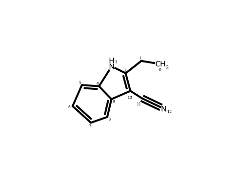 CCc1[nH]c2ccccc2c1C#N